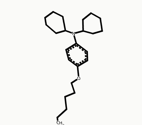 CCCCCCOc1ccc(N(C2CCCCC2)C2CCCCC2)cc1